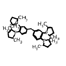 C[C@@H]1CC[C@@H](C)P1c1ccc(Cc2ccc(P3[C@@H](C)CC[C@@H]3C)c(P3[C@@H](C)CC[C@@H]3C)c2)cc1P1[C@H](C)CC[C@H]1C